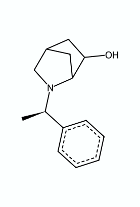 C[C@H](c1ccccc1)N1CC2CC(O)C1C2